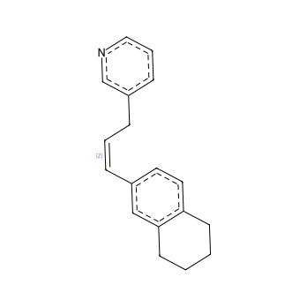 C(=C/c1ccc2c(c1)CCCC2)/Cc1cccnc1